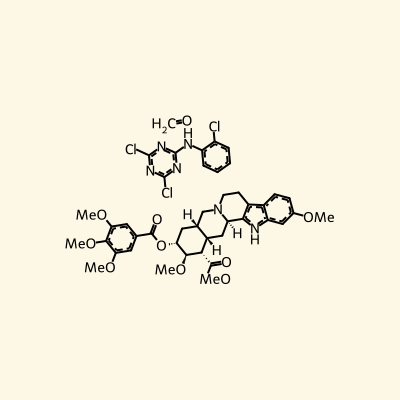 C=O.COC(=O)[C@H]1[C@H]2C[C@@H]3c4[nH]c5cc(OC)ccc5c4CCN3C[C@H]2C[C@@H](OC(=O)c2cc(OC)c(OC)c(OC)c2)[C@@H]1OC.Clc1nc(Cl)nc(Nc2ccccc2Cl)n1